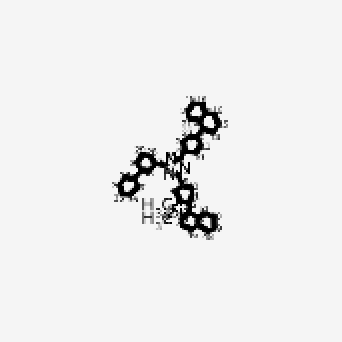 C[Si]1(C)c2cc(-c3nc(-c4ccc(-c5cccc6ccccc56)cc4)nc(-c4cccc(-c5ccccc5)c4)n3)ccc2-c2c1ccc1ccccc21